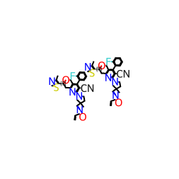 C=CC(=O)N1CC2(CCN(c3nc4c(c(-c5ccccc5F)c3C#N)CO[C@@H](c3scnc3C)C4)C2)C1.C=CC(=O)N1CC2(CCN(c3nc4c(c(-c5ccccc5F)c3C#N)CO[C@H](c3scnc3C)C4)C2)C1